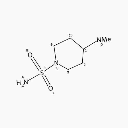 CNC1CCN(S(N)(=O)=O)CC1